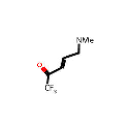 CNCC=CC(=O)C(F)(F)F